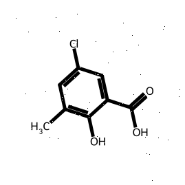 Cc1cc(Cl)cc(C(=O)O)c1O